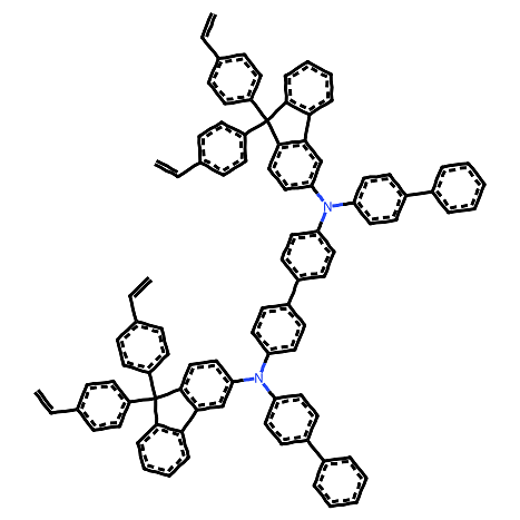 C=Cc1ccc(C2(c3ccc(C=C)cc3)c3ccccc3-c3cc(N(c4ccc(-c5ccccc5)cc4)c4ccc(-c5ccc(N(c6ccc(-c7ccccc7)cc6)c6ccc7c(c6)-c6ccccc6C7(c6ccc(C=C)cc6)c6ccc(C=C)cc6)cc5)cc4)ccc32)cc1